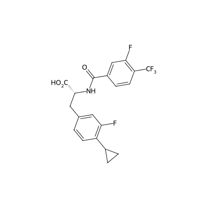 O=C(N[C@H](Cc1ccc(C2CC2)c(F)c1)C(=O)O)c1ccc(C(F)(F)F)c(F)c1